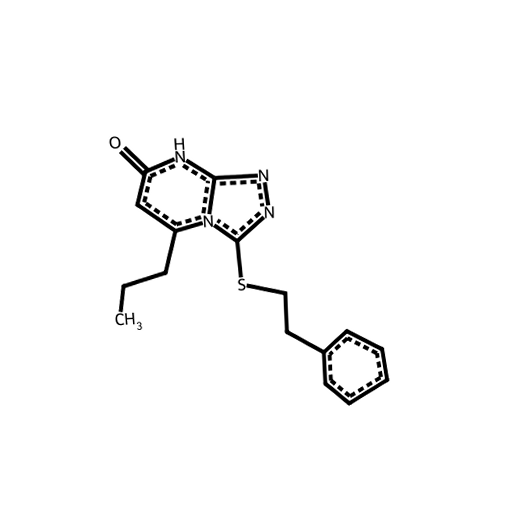 CCCc1cc(=O)[nH]c2nnc(SCCc3ccccc3)n12